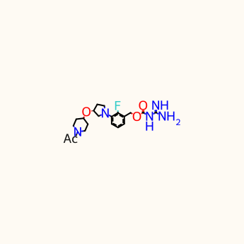 CC(=O)N1CCC(O[C@@H]2CCN(c3cccc(COC(=O)NC(=N)N)c3F)C2)CC1